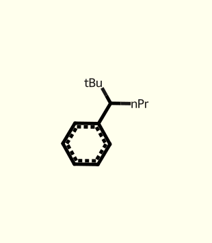 CCCC(c1ccccc1)C(C)(C)C